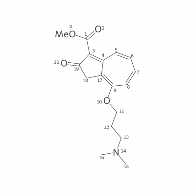 COC(=O)C1=C2C=CC=CC(OCCCN(C)C)=C2CC1=O